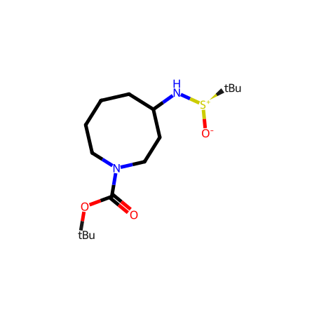 CC(C)(C)OC(=O)N1CCCCC(N[S@+]([O-])C(C)(C)C)CC1